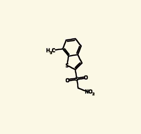 Cc1cccc2cc(S(=O)(=O)C[N+](=O)[O-])sc12